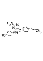 CCCCc1ccc(Oc2cnc(N)nc2NC2CCC(O)CC2)cc1